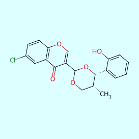 C[C@@H]1COC(c2coc3ccc(Cl)cc3c2=O)O[C@@H]1c1ccccc1O